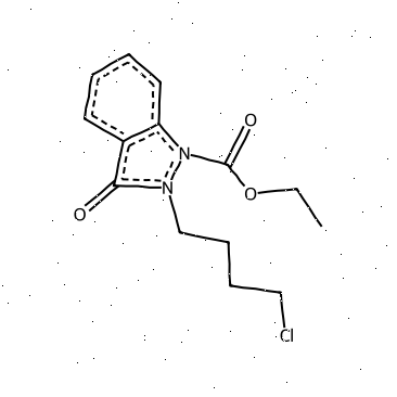 CCOC(=O)n1c2ccccc2c(=O)n1CCCCCl